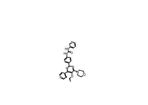 CCOc1c(-c2ccncc2)nc(-c2ccc(NC(=O)Nc3cccnc3)cc2)nc1N1CCOCC1